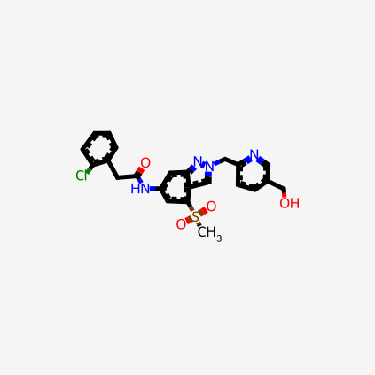 CS(=O)(=O)c1cc(NC(=O)Cc2ccccc2Cl)cc2nn(Cc3ccc(CO)cn3)cc12